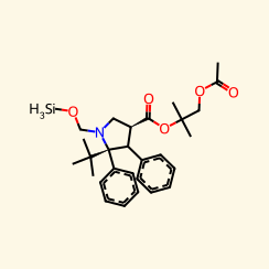 CC(=O)OCC(C)(C)OC(=O)[C@@H]1CN(CO[SiH3])[C@](c2ccccc2)(C(C)(C)C)C1c1ccccc1